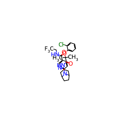 CC(C)(Oc1ccccc1Cl)C(=O)NC1CC2CCC(C1)N2c1ccc(C(=O)NCC(F)(F)F)cn1